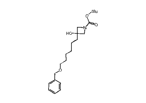 CC(C)(C)OC(=O)N1CC(O)(CCCCCCOCc2ccccc2)C1